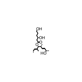 C/C(=C\I)[C@@H](OC(=O)C[C@H](O)CCCO)[C@@H](C)/C=C/[C@@H](C)O